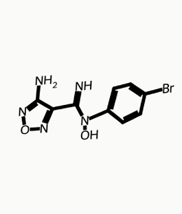 N=C(c1nonc1N)N(O)c1ccc(Br)cc1